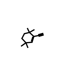 C#CC1=CC(C)(C)CCC1(C)C